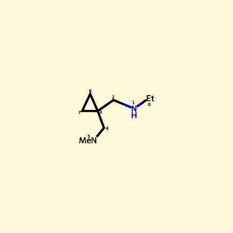 CCNCC1(CNC)CC1